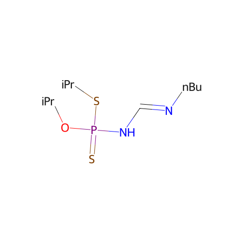 CCCCN=CNP(=S)(OC(C)C)SC(C)C